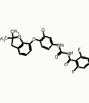 CC1(C)Cc2cccc(Oc3ccc(NC(=O)NC(=O)c4c(F)cccc4F)cc3Cl)c2O1